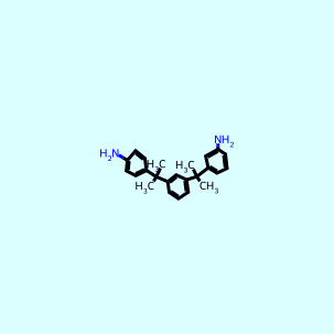 CC(C)(c1ccc(N)cc1)c1cccc(C(C)(C)c2cccc(N)c2)c1